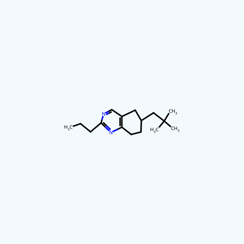 CCCc1ncc2c(n1)CCC(CC(C)(C)C)C2